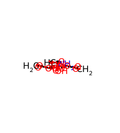 C#Cc1ccc(C(N)=O)cc1.C=CC(=O)OCCCCCCOc1ccc(C(=O)Oc2ccc(OC(=O)c3ccc(OCCCCCCOC(=O)C=C)cc3)c(C(=O)O)c2)cc1.c1cc2ccc1-2